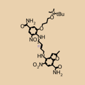 Cc1cc2c(NC/C=C/CNc3c(OCCCO[Si](C)(C)C(C)(C)C)cc(C(N)=O)cc3[N+](=O)[O-])c([N+](=O)[O-])cc(C(N)=O)c2o1